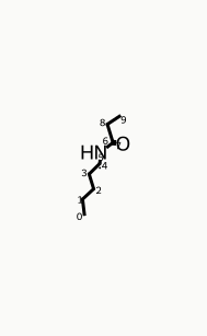 CCCC[CH]NC(=O)CC